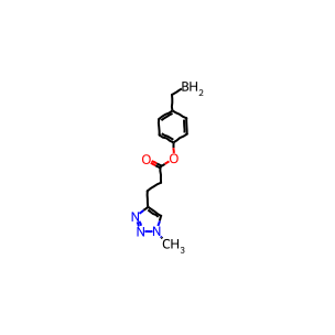 BCc1ccc(OC(=O)CCc2cn(C)nn2)cc1